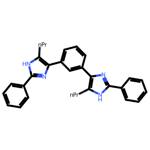 CCCc1[nH]c(-c2ccccc2)nc1-c1cccc(-c2nc(-c3ccccc3)[nH]c2CCC)c1